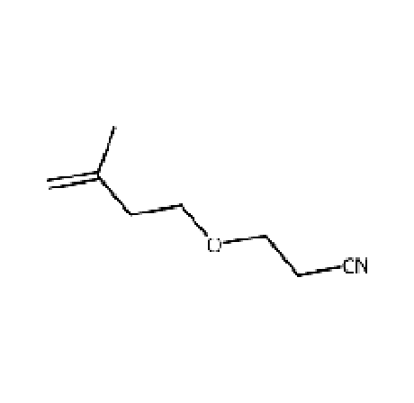 C=C(C)CCOCCC#N